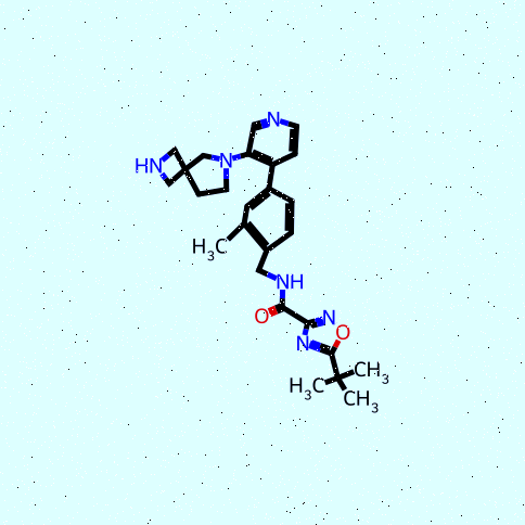 Cc1cc(-c2ccncc2N2CCC3(CNC3)C2)ccc1CNC(=O)c1noc(C(C)(C)C)n1